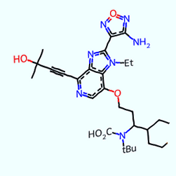 CCn1c(-c2nonc2N)nc2c(C#CC(C)(C)O)ncc(OCCC(C3CCSCC3)N(C(=O)O)C(C)(C)C)c21